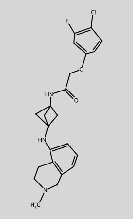 CN1CCc2c(cccc2NC23CC(NC(=O)COc4ccc(Cl)c(F)c4)(C2)C3)C1